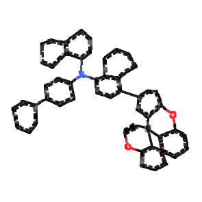 c1ccc(-c2ccc(N(c3cccc4ccccc34)c3ccc(-c4ccc5c(c4)[Si]4(c6ccccc6Oc6ccccc64)c4ccccc4O5)c4ccccc34)cc2)cc1